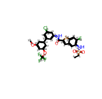 CCS(=O)(=O)Nc1cc2cc(C(=O)Nc3cc(Cl)cc(-c4cc(OC)cc(OC(F)(F)F)c4)c3)sc2cc1F